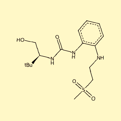 CC(C)(C)[C@@H](CO)NC(=O)Nc1ccccc1NCCS(C)(=O)=O